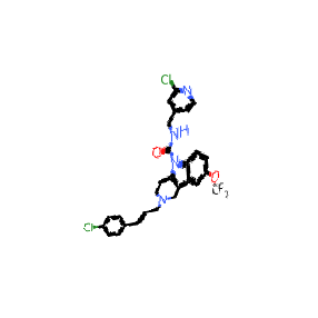 O=C(NCc1ccnc(Cl)c1)n1c2c(c3cc(OC(F)(F)F)ccc31)CN(CC=Cc1ccc(Cl)cc1)CC2